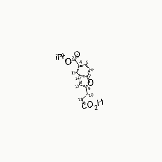 CC(C)OC(=O)c1ccc2oc(CCC(=O)O)cc2c1